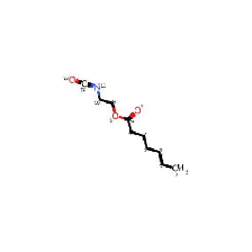 CCCCCCC(=O)OCCN=C=O